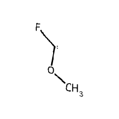 CO[C]F